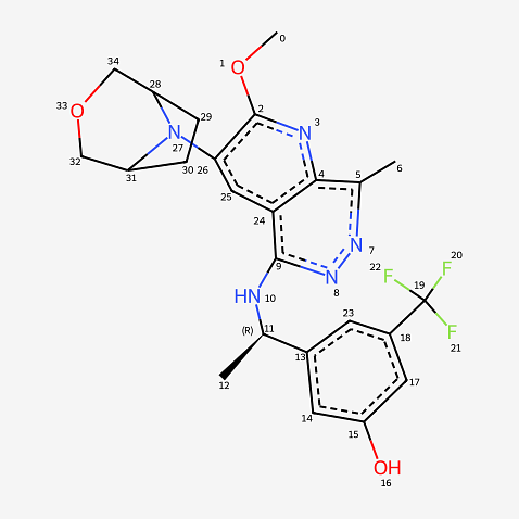 COc1nc2c(C)nnc(N[C@H](C)c3cc(O)cc(C(F)(F)F)c3)c2cc1N1C2CCC1COC2